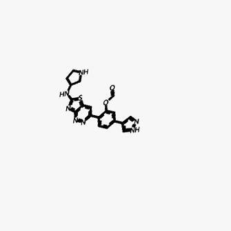 O=COc1cc(-c2cn[nH]c2)ccc1-c1cc2sc(NC3CCNC3)nc2nn1